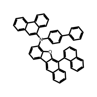 c1ccc(-c2ccc(N(c3cc4ccccc4c4ccccc34)c3cccc4c3oc3c(-c5cccc6ccccc56)c5ccccc5cc34)cc2)cc1